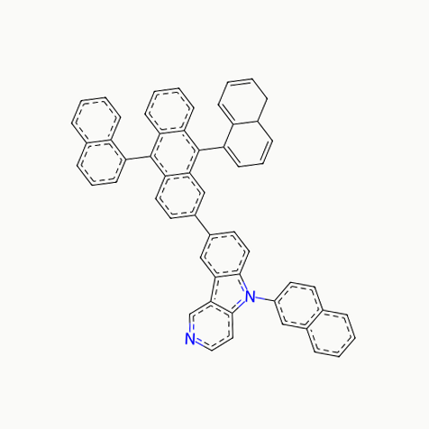 C1=CCC2C=CC=C(c3c4ccccc4c(-c4cccc5ccccc45)c4ccc(-c5ccc6c(c5)c5cnccc5n6-c5ccc6ccccc6c5)cc34)C2=C1